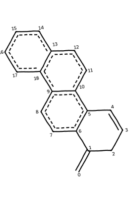 C=C1CC=Cc2c1ccc1c2ccc2ccccc21